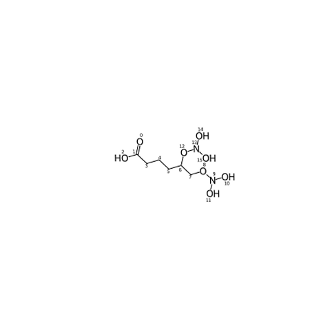 O=C(O)CCCC(CON(O)O)ON(O)O